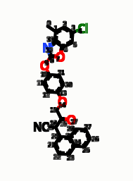 Cc1cc(Cl)cc2oc(Oc3ccc(OCC(=O)C(C#N)c4cccc5ccccc45)cc3)nc12